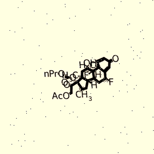 CCCOC(=O)O[C@]1(C(=O)COC(C)=O)[C@H](C)C[C@H]2[C@@H]3C[C@H](F)C4=CC(=O)C=C[C@]4(C)[C@@]3(F)[C@@H](O)C[C@@]21C